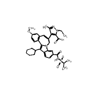 CCn1nc(C)c(C2=Cc3cc(OC)ccc3-c3c(C4CCCCC4)c4ccc(C(=O)NS(=O)(=O)C(C)C)cc4n3C2)c1C(=O)O